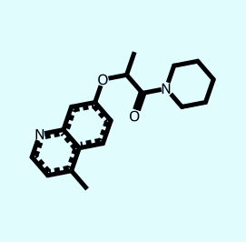 Cc1ccnc2cc(OC(C)C(=O)N3CCCCC3)ccc12